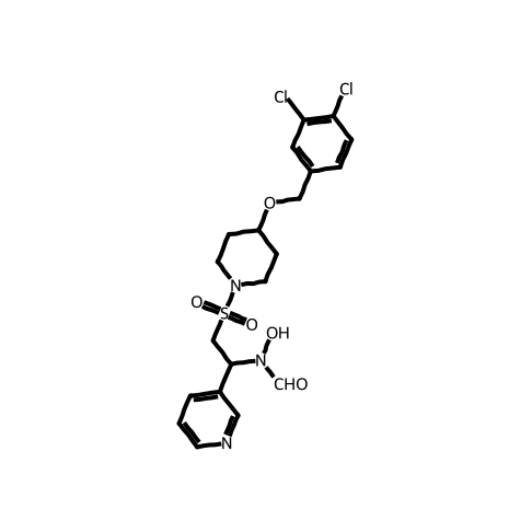 O=CN(O)C(CS(=O)(=O)N1CCC(OCc2ccc(Cl)c(Cl)c2)CC1)c1cccnc1